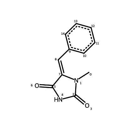 CN1C(=O)NC(=O)/C1=C/c1ccccc1